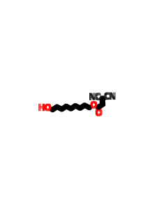 N#CC(C#N)=CC(=O)OCCCCCCCCCO